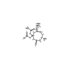 N.O=C([O-])C[N+]1(CC(=O)O)CC(=O)OCCOC(=O)C1.[KH].[KH]